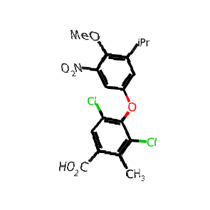 COc1c(C(C)C)cc(Oc2c(Cl)cc(C(=O)O)c(C)c2Cl)cc1[N+](=O)[O-]